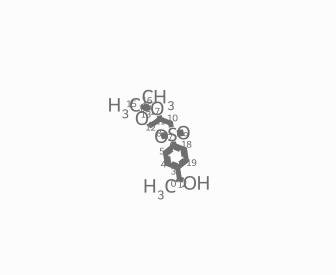 C[C@H](O)c1ccc(S(=O)(=O)CC2COC(C)(C)O2)cc1